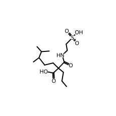 CCCC(CCC(C)C(C)C)(C(=O)O)C(=O)NCCS(=O)(=O)O